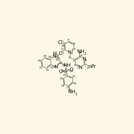 CCCc1ncc(C[n+]2ccccc2C)c(N)n1.Nc1ccc(S(=O)(=O)Nc2cnc3ccccc3n2)cc1.[Cl-]